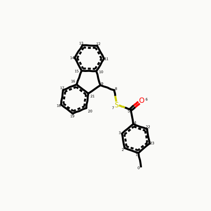 Cc1ccc(C(=O)SCC2c3ccccc3-c3ccccc32)cc1